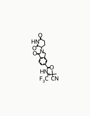 CC(C)(C#N)[C@@H](NC(=O)c1ccc2c(c1)CN(C1CCC(=O)NC1=O)C2=O)C(F)(F)F